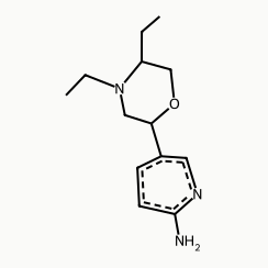 CCC1COC(c2ccc(N)nc2)CN1CC